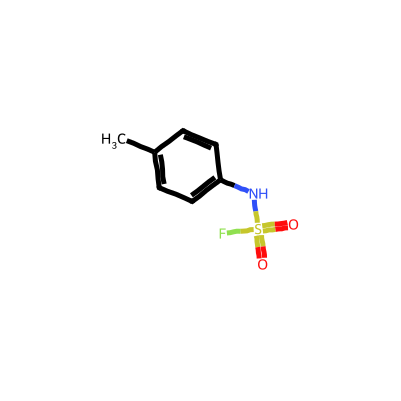 Cc1ccc(NS(=O)(=O)F)cc1